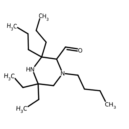 CCCCN1CC(CC)(CC)NC(CCC)(CCC)C1C=O